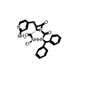 CCNC(=O)[C@@H]1C(Cc2ccnc(N)c2)C(=O)N1C(=O)NC(c1ccccc1)c1ccccc1